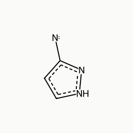 [N]c1cc[nH]n1